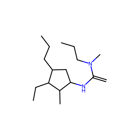 C=C(NC1CC(CCC)C(CC)C1C)N(C)CCC